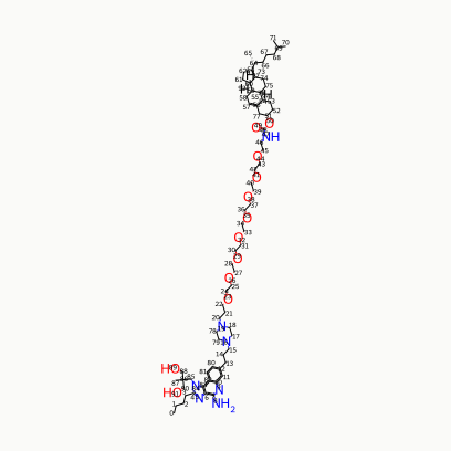 CCCCc1nc2c(N)nc3cc(CCCN4CCN(CCCOCCOCCOCCOCCOCCOCCOCCOCCNC(=O)O[C@H]5CC[C@@]6(C)C(=CC[C@H]7[C@@H]8CC[C@H]([C@H](C)CCCC(C)C)[C@@]8(C)CC[C@@H]76)C5)CC4)ccc3c2n1CC(C)(CO)CO